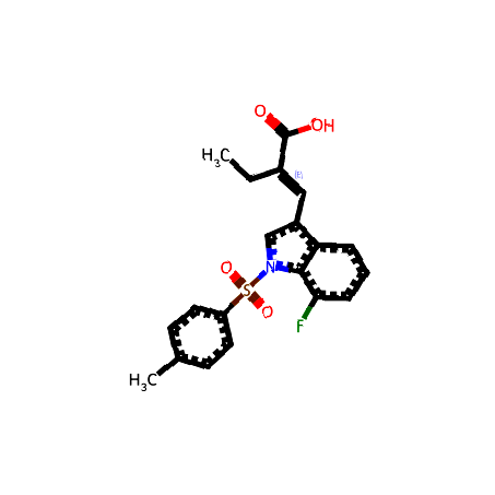 CC/C(=C\c1cn(S(=O)(=O)c2ccc(C)cc2)c2c(F)cccc12)C(=O)O